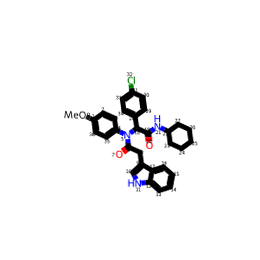 COc1ccc(N(C(=O)Cc2c[nH]c3ccccc23)C(C(=O)NC2CCCCC2)c2ccc(Cl)cc2)cc1